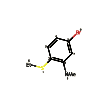 CCSc1ccc(Br)cc1NC